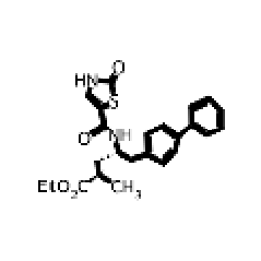 CCOC(=O)[C@H](C)C[C@@H](Cc1ccc(-c2ccccc2)cc1)NC(=O)c1c[nH]c(=O)s1